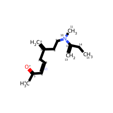 C=C(C/C=C\C(C)=O)CCN(C)C(=C)CC